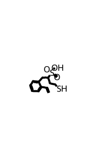 C=Cc1ccccc1CC(CCS)S(=O)(=O)O